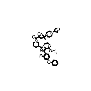 CC(C)(C=C(C#N)C(=O)N1CCCC(c2nc(-c3ccc(Oc4ccccc4)cc3F)c3c(N)nccn23)C1)N1CCN(C2COC2)CC1